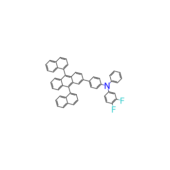 Fc1ccc(N(c2ccccc2)c2ccc(-c3ccc4c(-c5cccc6ccccc56)c5ccccc5c(-c5cccc6ccccc56)c4c3)cc2)cc1F